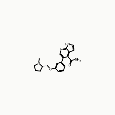 CN1CCC[C@H]1COc1cccc(-c2cnc3[nH]c[c]c3c2C(N)=O)c1